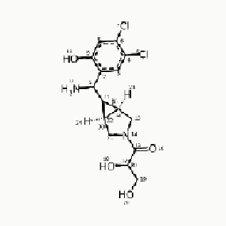 NC(c1cc(Cl)c(Cl)cc1O)C1[C@H]2CN(C(=O)[C@H](O)CO)C[C@@H]12